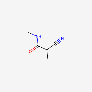 CNC(=O)C(C)C#N